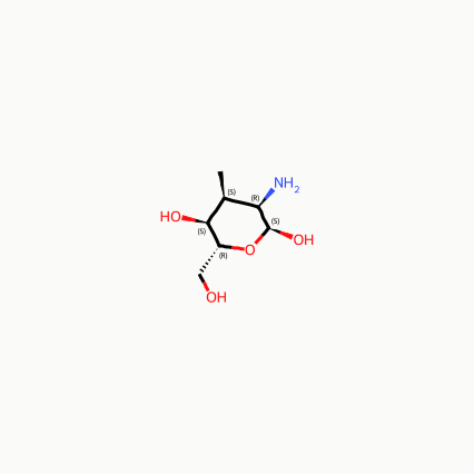 C[C@H]1[C@@H](N)[C@@H](O)O[C@H](CO)[C@H]1O